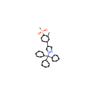 Cc1cc(-c2cnn(C(c3ccccc3)(c3ccccc3)c3ccccc3)c2)ccc1S(C)(=O)=O